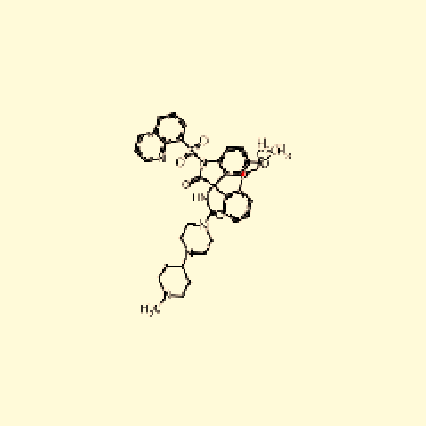 CCOc1ccccc1C1(NC(=O)N2CCN(C3CCN(C)CC3)CC2)C(=O)N(S(=O)(=O)c2cccc3cccnc23)c2ccc(OC)cc21